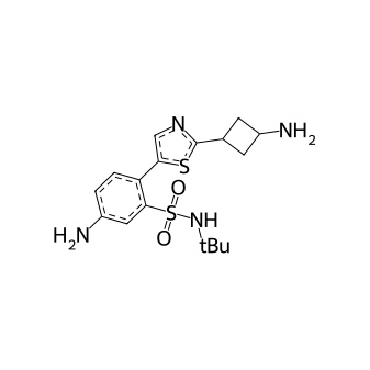 CC(C)(C)NS(=O)(=O)c1cc(N)ccc1-c1cnc(C2CC(N)C2)s1